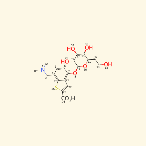 CN(C)Cc1ccc(O[C@@H]2O[C@H](CCO)[C@H](O)[C@H](O)[C@H]2O)c2cc(C(=O)O)sc12